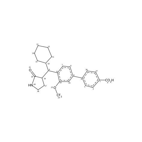 O=C(O)c1ccc(-c2ccc(C(C3CCCCC3)C3CCNC3=O)c(OC(F)(F)F)c2)cc1